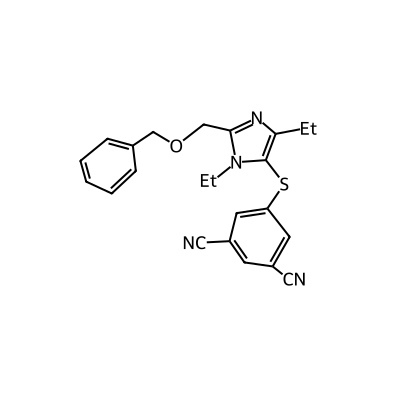 CCc1nc(COCc2ccccc2)n(CC)c1Sc1cc(C#N)cc(C#N)c1